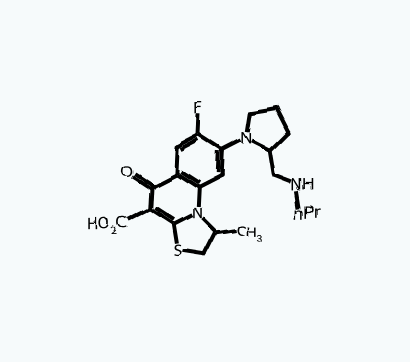 CCCNCC1CCCN1c1cc2c(cc1F)c(=O)c(C(=O)O)c1n2C(C)CS1